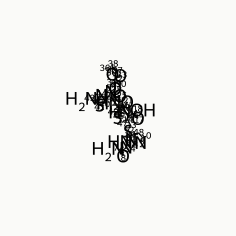 CC1=NC2=CN(C(N)=O)NN2C(SCC2=C(C(=O)O)N3C(=O)[C@@H](NC(=O)/C(=N\OC(C)(C)C(=O)OC(C)(C)C)c4csc(N)n4)[C@H]3SC2)=C1